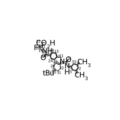 Cc1cc(C)cc(NC(=O)N(Cc2ccc(C(=O)NCC(F)(F)C(=O)O)cc2)C2CCC(C(C)(C)C)CC2)c1